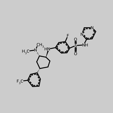 CN(C)[C@H]1C[C@@H](c2cccc(C(F)(F)F)c2)CC[C@@H]1Nc1ccc(S(=O)(=O)Nc2ccncn2)c(F)c1